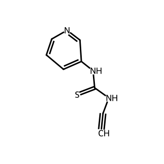 C#CNC(=S)Nc1cccnc1